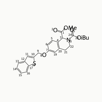 COC(=O)C1c2ccc(OCc3cc4ccccc4s3)cc2CCN1C(=O)OCC(C)C